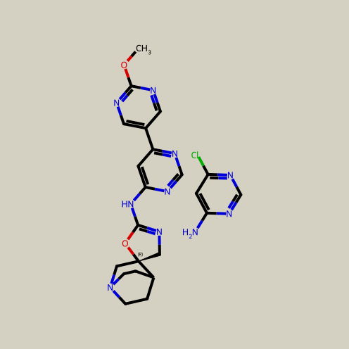 COc1ncc(-c2cc(NC3=NC[C@@]4(CN5CCC4CC5)O3)ncn2)cn1.Nc1cc(Cl)ncn1